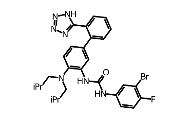 CC(C)CN(CC(C)C)c1ccc(-c2ccccc2-c2nnn[nH]2)cc1NC(=O)Nc1ccc(F)c(Br)c1